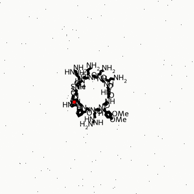 COc1ccc(CC[C@@H]2NC(=O)[C@H](CCCNC(=N)N)NC(=O)[C@@H](Cc3ccccc3)NC(=O)[C@H](Cc3c[nH]cn3)N[C@@H]3CCCN3C(=O)C(SSC)NC(=O)[C@H](CCCNC(=N)N)NC(=O)[C@H](CCCCN)NC(=O)[C@H](CCCCN)NC(=O)[C@H](CCCCN)NC(=O)[C@H](C)NC(=O)[C@H](C)NC2=O)cc1OC